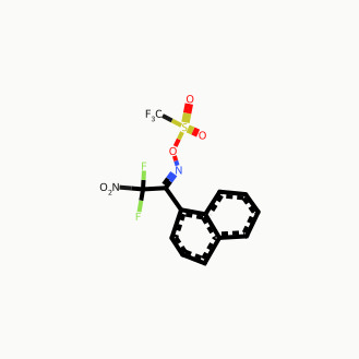 O=[N+]([O-])C(F)(F)C(=NOS(=O)(=O)C(F)(F)F)c1cccc2ccccc12